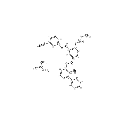 CC(N)=O.CCNCc1ccc(OCc2cccc(-c3ccccc3)c2Br)cc1OCc1cccc(C#N)c1